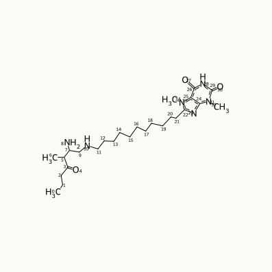 CCCC(=O)C(C)C(N)CNCCCCCCCCCCCc1nc2c(c(=O)[nH]c(=O)n2C)n1C